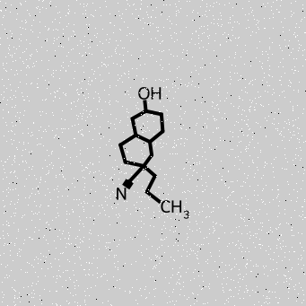 CCCC1(C#N)CCC2CC(O)CCC2C1